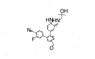 CC(C)(O)CN/C=C1/C=C(c2sc(C=O)cc2-c2ccc(C#N)c(F)c2)C=CC1=N